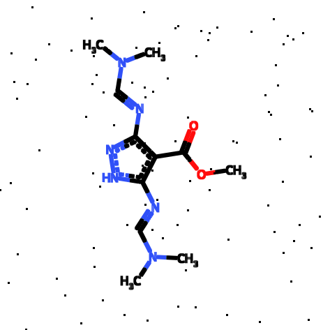 COC(=O)c1c(N=CN(C)C)n[nH]c1N=CN(C)C